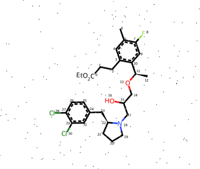 CCOC(=O)CCc1cc(C)c(F)cc1[C@@H](C)OCC(O)CN1CCC[C@H]1Cc1ccc(Cl)c(Cl)c1